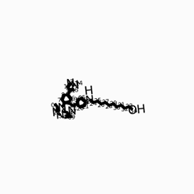 Cc1nnc2n1-c1ccc(-c3cnn(C)c3)cc1C(c1ccc(NCCCCCCCCCCO)cc1)=NC21CC1